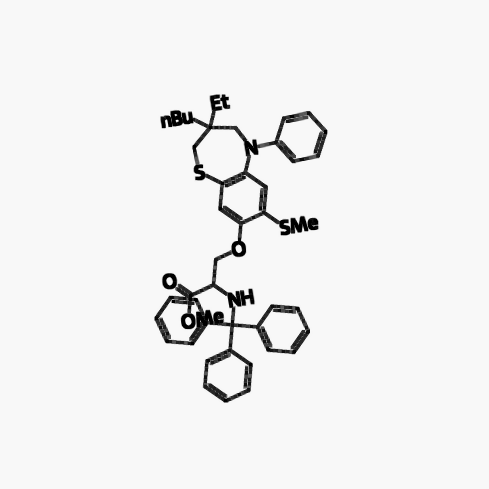 CCCCC1(CC)CSc2cc(OCC(NC(c3ccccc3)(c3ccccc3)c3ccccc3)C(=O)OC)c(SC)cc2N(c2ccccc2)C1